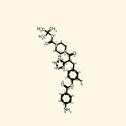 CC(C)(C)OC(=O)N1CCN(C(=O)C(Cc2ccc(OC(=O)c3ccc(N)cc3)c(F)c2)c2nnn[nH]2)CC1